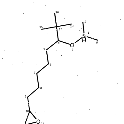 C[SiH](C)OC(CCCCCC1CO1)C(C)(C)C